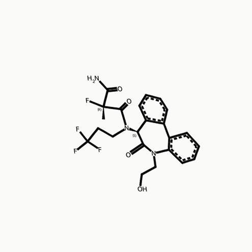 C[C@@](F)(C(N)=O)C(=O)N(CCC(F)(F)F)[C@@H]1C(=O)N(CCO)c2ccccc2-c2ccccc21